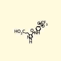 O=C(O)CCc1n[nH]cc1C(=O)Nc1ccc(S(=O)(=O)C(F)(F)F)cc1